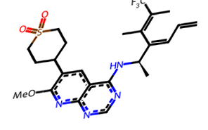 C=C/C=C(\C(C)=C(/C)C(F)(F)F)[C@@H](C)Nc1ncnc2nc(OC)c(C3CCS(=O)(=O)CC3)cc12